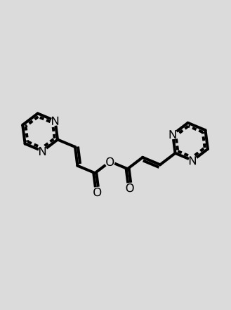 O=C(/C=C/c1ncccn1)OC(=O)/C=C/c1ncccn1